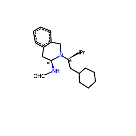 CC(C)[C@@H](CC1CCCCC1)N1Cc2ccccc2C[C@@H]1NC=O